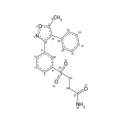 Cc1onc(-c2cccc(S(=O)(=O)CCC(N)=O)c2)c1-c1ccccc1